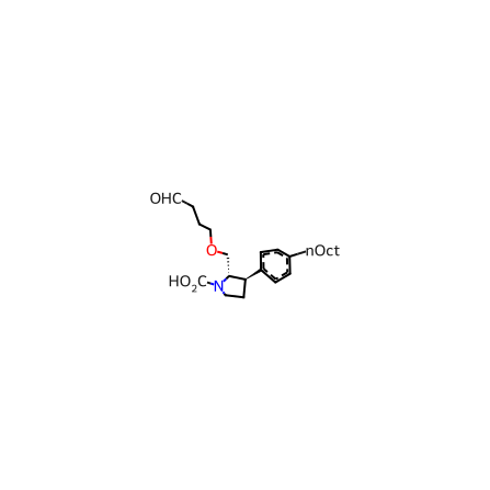 CCCCCCCCc1ccc([C@H]2CCN(C(=O)O)[C@@H]2COCCCC=O)cc1